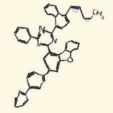 C/C=C\C=C/c1ccc(-c2nc(-c3ccccc3)nc(-c3cc(-c4ccc(-c5ccccc5)cc4)cc4oc5ccccc5c34)n2)c2ccccc12